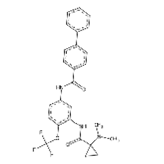 CN(C)C1(C(=O)Nc2cc(NC(=O)c3ccc(-c4ccccc4)cc3)ccc2OC(F)(F)F)CC1